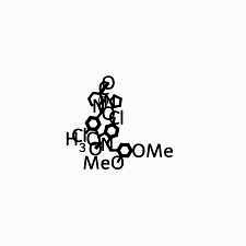 COc1ccc(CN2C(=O)C(C)(c3cc(C(=O)N4CCCC(=C=O)[C@@H]4N4CCCC4)ccc3Cl)c3cc(Cl)ccc32)c(OC)c1